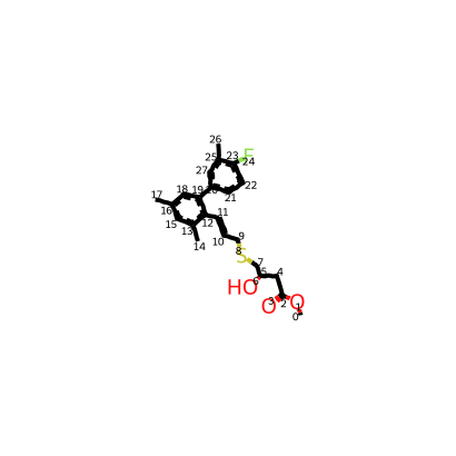 COC(=O)CC(O)CSCC=Cc1c(C)cc(C)cc1-c1ccc(F)c(C)c1